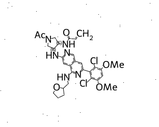 C=CC(=O)N[C@H]1CN(C(C)=O)C[C@H]1Nc1cc2c(NCC3CCCO3)nc(-c3c(Cl)c(OC)cc(OC)c3Cl)cc2cn1